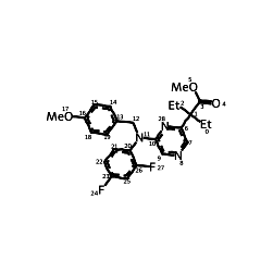 CCC(CC)(C(=O)OC)c1cncc(N(Cc2ccc(OC)cc2)c2ccc(F)cc2F)n1